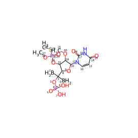 BC(B)(OP(=O)(O)O)C1OC(n2ccc(=O)[nH]c2=O)C(OC)C1OP(=O)(OC)SC